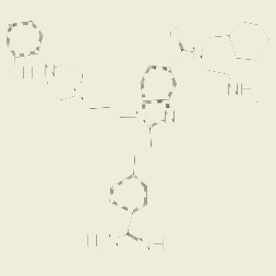 Cc1ccccc1N1CCN(CCCn2c(CCc3ccc(C(=N)N)cc3)nc3cc(C(=O)N(CCN)CC4CCCCC4)ccc32)CC1